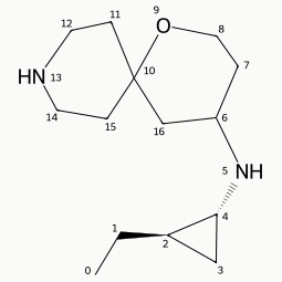 CC[C@@H]1C[C@H]1NC1CCOC2(CCNCC2)C1